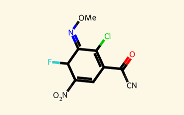 CON=C1C(Cl)=C(C(=O)C#N)C=C([N+](=O)[O-])C1F